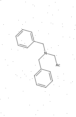 [CH2]C(=O)CN(Cc1ccccc1)Cc1ccccc1